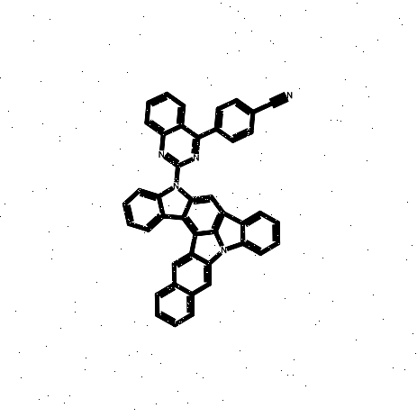 N#Cc1ccc(-c2nc(-n3c4ccccc4c4c5c6cc7ccccc7cc6n6c7ccccc7c(cc43)c56)nc3ccccc23)cc1